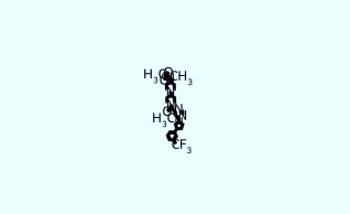 Cc1c(C(=O)N2CCC(N3CCC(N(C)S(C)(=O)=O)CC3)CC2)ncnc1N1CCC(c2cccc(C(F)(F)F)c2)C1